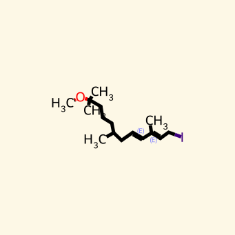 COC(C)(C)CCCC(C)C/C=C/C(C)=C/CI